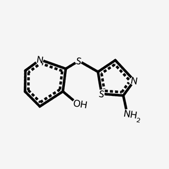 Nc1ncc(Sc2ncccc2O)s1